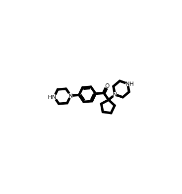 O=C(c1ccc(N2CCNCC2)cc1)C1(N2CCNCC2)CCCC1